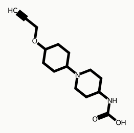 C#CCOC1CCC(N2CCC(NC(=O)O)CC2)CC1